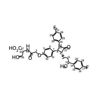 O=C(COc1ccc([C@@H]2[C@@H](SCC(O)c3ccc(F)cc3)C(=O)N2c2ccc(F)cc2)cc1)N[C@H](CO)C(=O)O